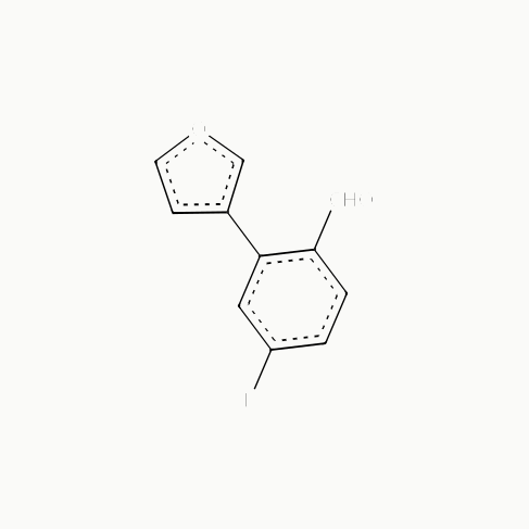 O=Cc1ccc(F)cc1-c1ccoc1